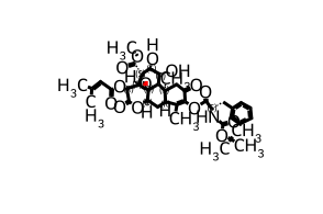 COC(=O)[C@@]12OC[C@]34C([C@@H](O)[C@@H]1O)[C@@]1(C)CC(=O)C(OC(=O)[C@H](Cc5ccccc5)NC(=O)OC(C)(C)C)=C(C)[C@@H]1C[C@H]3OC(=O)[C@H](OC(=O)C=C(C)C)[C@@H]24